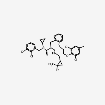 CCC1(C(=O)O)CC1CNCC(Cc1ccccc1OCCOc1c(Cl)cc(C)cc1Cl)C(=O)N(Cc1cccc(Cl)c1Cl)C1CC1